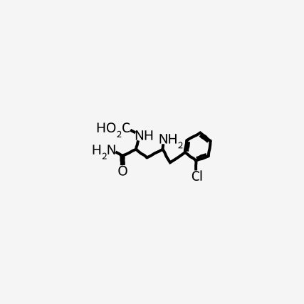 NC(=O)C(CC(N)Cc1ccccc1Cl)NC(=O)O